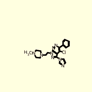 CN1CCN(CCn2nc(-n3ccnc3)c3c(Cl)c(-c4ccccc4)nnc32)CC1